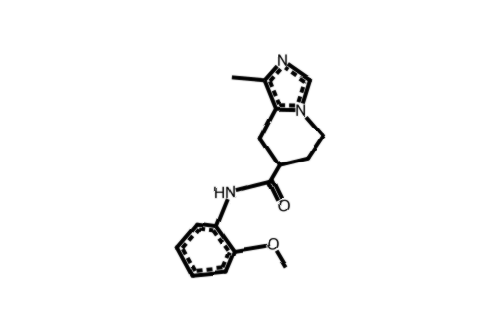 COc1ccccc1NC(=O)C1CCn2cnc(C)c2C1